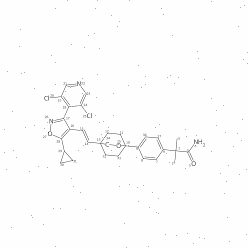 CC(C)(C(N)=O)c1ccc(C23CCC(/C=C/c4c(-c5c(Cl)cncc5Cl)noc4C4CC4)(CC2)CO3)cc1